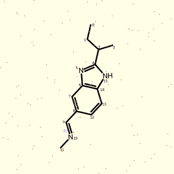 CCC(C)c1nc2cc(/C=N/C)ccc2[nH]1